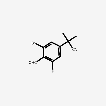 CC(C)(C#N)c1cc(F)c(C=O)c(Br)c1